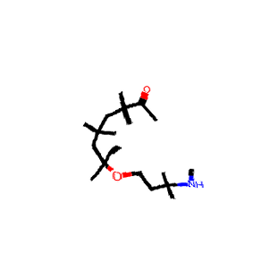 CNC(C)(C)CCOC(C)(C)CC(C)(C)CC(C)(C)C(C)=O